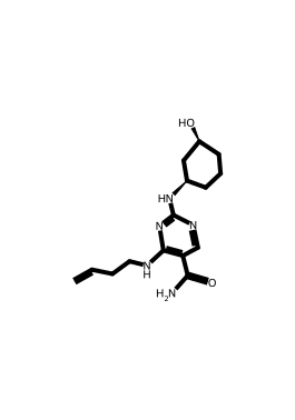 C=CCCNc1nc(N[C@@H]2CCC[C@H](O)C2)ncc1C(N)=O